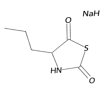 CCCC1NC(=O)SC1=O.[NaH]